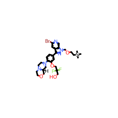 C[Si](C)(C)CCOCn1nc(-c2ccc(N3CCN4CCOC[C@H]4C3)c(OCC(F)(F)CO)c2)c2cc(Br)ncc21